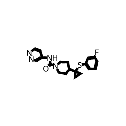 O=C(Nc1ccnnc1)N1CCC(C2(Sc3cccc(F)c3)CC2)CC1